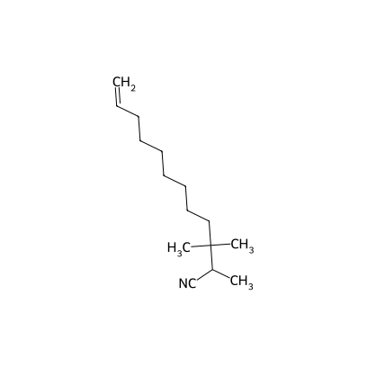 C=CCCCCCCCC(C)(C)C(C)C#N